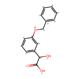 O=C(O)C(O)c1cccc(OCc2ccccc2)c1